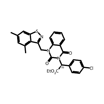 CCOC(=O)[C@H](c1ccc(Cl)cc1)n1c(=O)c2ccccc2n(Cc2nsc3cc(C)cc(C)c23)c1=O